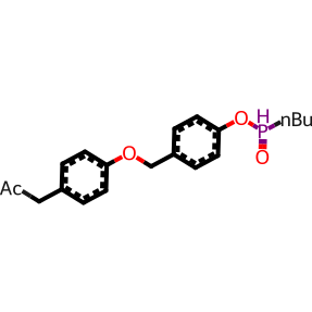 CCCC[PH](=O)Oc1ccc(COc2ccc(CC(C)=O)cc2)cc1